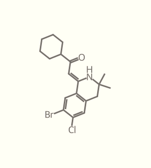 CC1(C)Cc2cc(Cl)c(Br)cc2/C(=C/C(=O)C2CCCCC2)N1